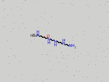 CCCCNCCCCCC(=O)NCCCNCCCCNCCCN